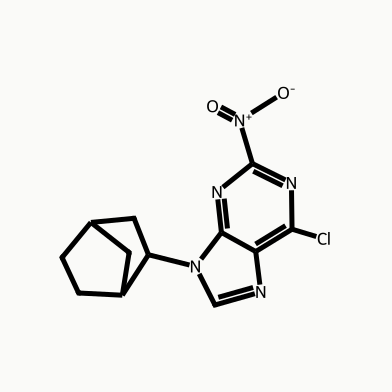 O=[N+]([O-])c1nc(Cl)c2ncn(C3CC4CCC3C4)c2n1